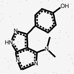 CN(C)c1ncnc2[nH]nc(-c3ccc(O)cc3)c12